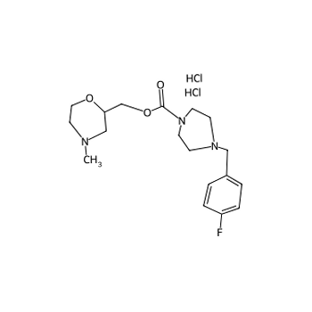 CN1CCOC(COC(=O)N2CCN(Cc3ccc(F)cc3)CC2)C1.Cl.Cl